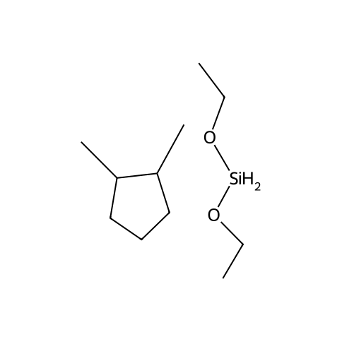 CC1CCCC1C.CCO[SiH2]OCC